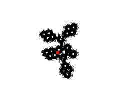 c1cc2ccc3cc(-c4cc(-n5c6ccccc6c6c5ccc5c7ccccc7n(-c7cc(-c8cc9ccc%10cccc%11ccc(c8)c9c%10%11)nc(-c8cc9ccc%10cccc%11ccc(c8)c9c%10%11)c7)c56)cc(-c5cc6ccc7cccc8ccc(c5)c6c78)n4)cc4ccc(c1)c2c34